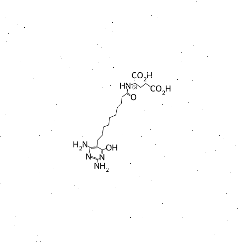 Nc1nc(N)c(CCCCCCCCCC(=O)N[C@@H](CCC(=O)O)C(=O)O)c(O)n1